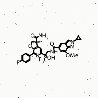 COc1cc(C(=O)NC[C@](O)(c2cc3c(c(-c4ccc(F)cc4)n2)OCC3(F)C(N)=O)C(F)(F)F)cc2cn(C3CC3)nc12